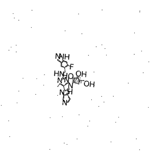 Cc1nc(NCc2cc3cn[nH]c3cc2F)nc(N[C@@H]2C[C@H](CO)[C@@H](O)[C@H]2O)c1-c1nc2cnccc2s1